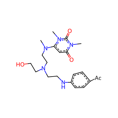 CC(=O)c1ccc(NCCN(CCO)CCN(C)c2cc(=O)n(C)c(=O)n2C)cc1